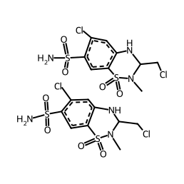 CN1C(CCl)Nc2cc(Cl)c(S(N)(=O)=O)cc2S1(=O)=O.CN1C(CCl)Nc2cc(Cl)c(S(N)(=O)=O)cc2S1(=O)=O